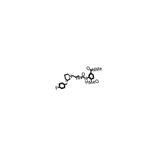 CNC(=O)c1ccc(OC)c(NC(=O)NCCCN2CCC[C@@H](Cc3ccc(F)cc3)C2)c1